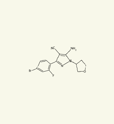 N#Cc1c(-c2ccc(Br)cc2F)nn(C2CCOC2)c1N